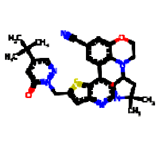 CC1(C)CC(N2CCOc3cc(C#N)cc(-c4ccnc5cc(Cn6ncc(C(C)(C)C)cc6=O)sc45)c32)CN1